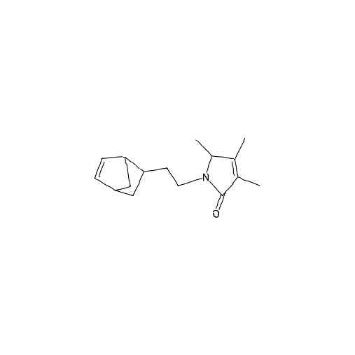 CC1=C(C)C(C)N(CCC2CC3C=CC2C3)C1=O